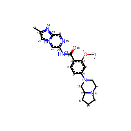 CCOc1cc(N2CCN3CCCC3C2)ccc1C(=O)Nc1cn2cc(C)nc2cn1